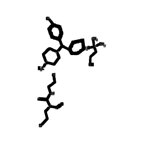 CN1CCN(C(c2ccccc2)c2ccc(Cl)cc2)CC1.C[N+](C)(C)CCO.O=NN(CCCl)C(=O)NCCCl